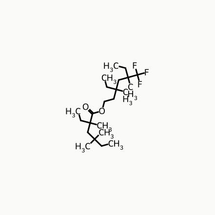 CCC(C)(C)CC(C)(CC)C(=O)OCCC(C)(CC)CC(C)(CC)C(F)(F)F